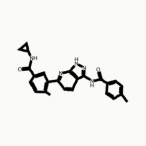 Cc1ccc(C(=O)Nc2n[nH]c3nc(-c4cc(C(=O)NC5CC5)ccc4C)ccc23)cc1